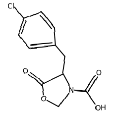 O=C1OCN(C(=O)O)C1Cc1ccc(Cl)cc1